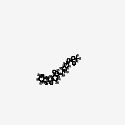 CC(C)(C)OC(=O)ON1CC2CN(Cc3coc4cc(Oc5nc6ncccc6s5)ccc34)CC2C1